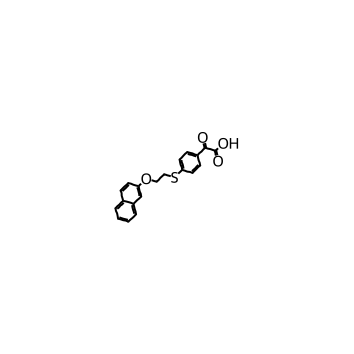 O=C(O)C(=O)c1ccc(SCCOc2ccc3ccccc3c2)cc1